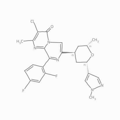 Cc1nc2c(-c3ccc(F)cc3F)nc([C@@H]3C[C@@H](c4cnn(C)c4)O[C@@H](C)C3)cn2c(=O)c1Cl